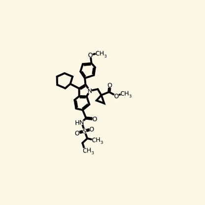 CCC(C)S(=O)(=O)NC(=O)c1ccc2c(C3CCCCC3)c(-c3ccc(OC)cc3)n(CC3(C(=O)OC)CC3)c2c1